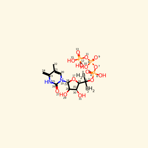 BC(B)(OP(=O)(O)OP(=O)(O)OP(=O)(O)O)C1O[C@H](N2C=C(C)C(=C)NC2=O)C(O)[C@@H]1O